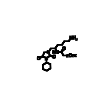 CCCCCCCCCCCC(=O)NC(CCCCN)CN1CC(=O)N(C2CCCCC2)C1=O